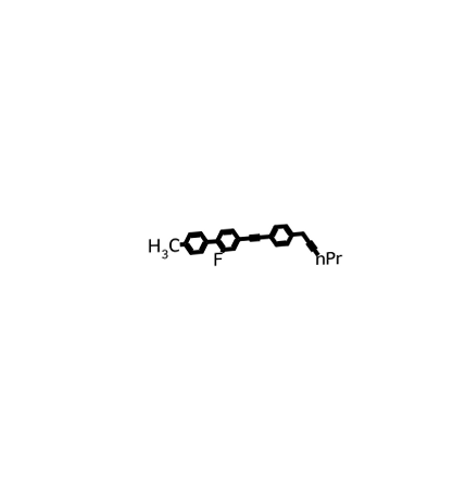 CCCC#CCc1ccc(C#Cc2ccc(-c3ccc(C)cc3)c(F)c2)cc1